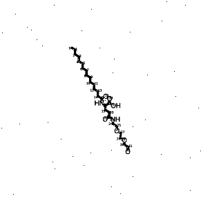 CCCCCCCCCCCCCCCC(=O)NC(CCC(=O)NCCOCCOC[C]=O)C(=O)O